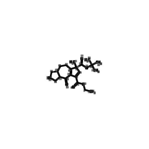 CCOC(=O)C1=C[N+](C)(C(=O)OC(C)(C)C)C2=C1C(=O)C1CNCC1CC2